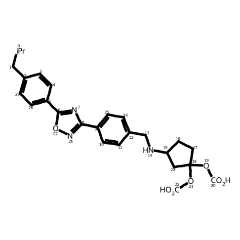 CC(C)Cc1ccc(-c2nc(-c3ccc(CNC4CCC(OC(=O)O)(OC(=O)O)C4)cc3)no2)cc1